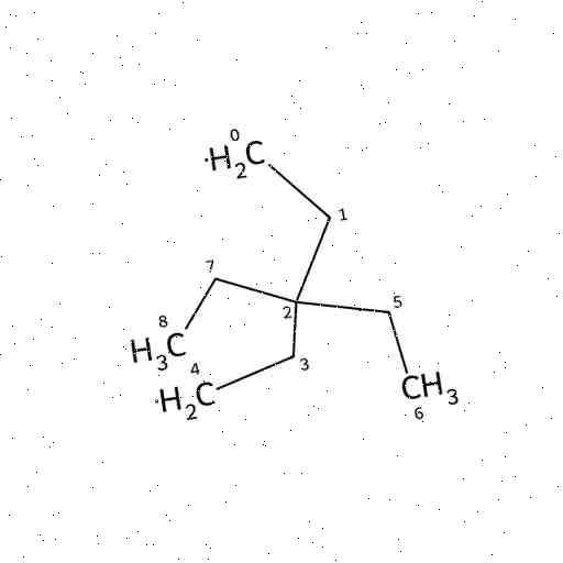 [CH2]CC(C[CH2])(CC)CC